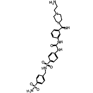 N=C(c1cccc(NC(=O)Nc2ccc(S(=O)(=O)NCc3ccc(S(N)(=O)=O)cc3)cc2)c1)N1CCN(CCN)CC1